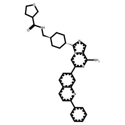 Nc1nc(-c2ccc3ccc(-c4ccccc4)nc3c2)cn2c1cnc2[C@H]1CC[C@H](CNC(=O)C2CCOC2)CC1